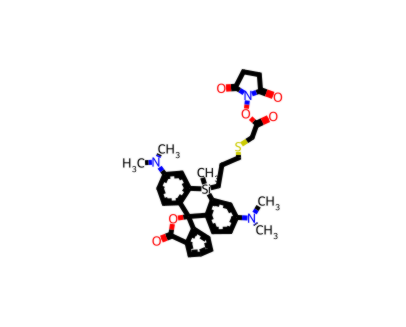 CN(C)c1ccc2c(c1)[Si](C)(CCCSCC(=O)ON1C(=O)CCC1=O)c1cc(N(C)C)ccc1C21OC(=O)c2ccccc21